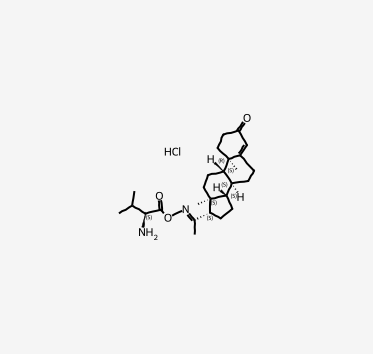 CC(=NOC(=O)[C@@H](N)C(C)C)[C@H]1CC[C@H]2[C@@H]3CCC4=CC(=O)CC[C@]4(C)[C@H]3CC[C@]12C.Cl